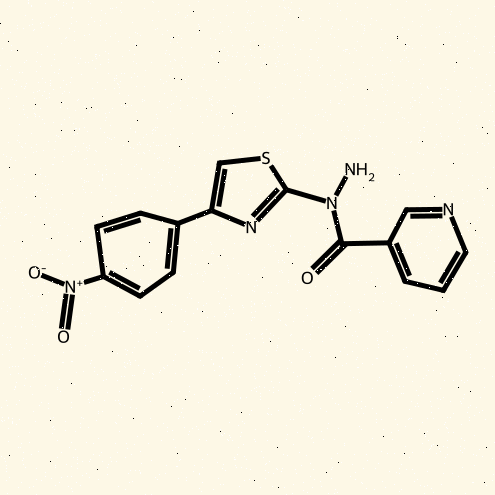 NN(C(=O)c1cccnc1)c1nc(-c2ccc([N+](=O)[O-])cc2)cs1